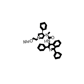 COCCN1C[C@@H](N(C)C(=O)Nc2c(-c3ccccc3)nc(-c3ccccc3)c3ccccc23)[C@H](c2ccccc2)C1